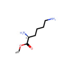 CCCOC(=O)[C@@H](N)CCCCN